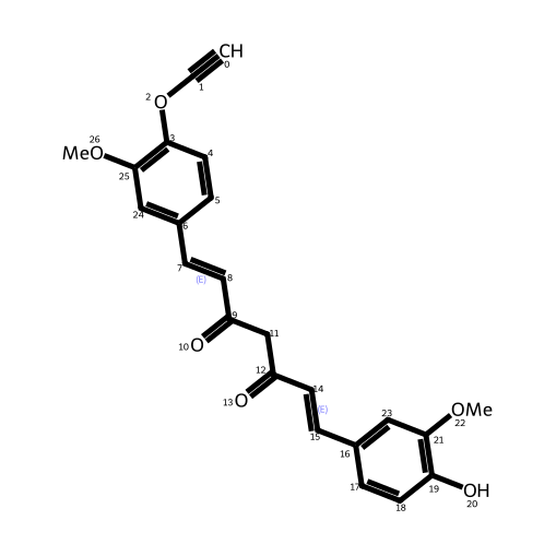 C#COc1ccc(/C=C/C(=O)CC(=O)/C=C/c2ccc(O)c(OC)c2)cc1OC